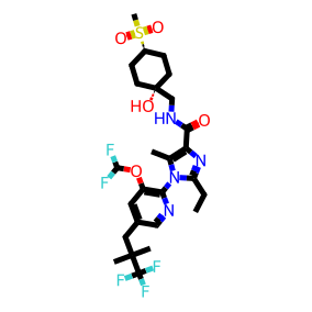 CCc1nc(C(=O)NC[C@]2(O)CC[C@@H](S(C)(=O)=O)CC2)c(C)n1-c1ncc(CC(C)(C)C(F)(F)F)cc1OC(F)F